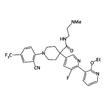 CCOc1ncccc1-c1ncc(C2(C(=O)NCCNC)CCN(c3ccc(C(F)(F)F)cc3C#N)CC2)cc1F